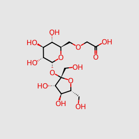 O=C(O)COC[C@H]1O[C@H](O[C@]2(CO)O[C@H](CO)[C@@H](O)[C@@H]2O)[C@H](O)[C@@H](O)[C@@H]1O